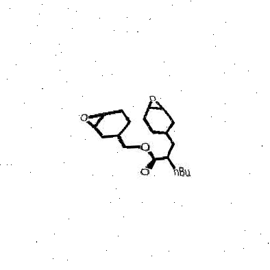 CCCCC(CC1CCC2OC2C1)C(=O)OCC1CCC2OC2C1